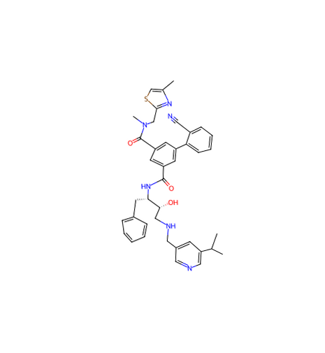 Cc1csc(CN(C)C(=O)c2cc(C(=O)N[C@@H](Cc3ccccc3)[C@H](O)CNCc3cncc(C(C)C)c3)cc(-c3ccccc3C#N)c2)n1